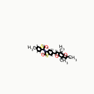 Cc1ccc2c(c1)SC(=O)/C2=C1/C(=O)Sc2cc(-c3cc4c(C)c5oc(C)cc5c(C)c4o3)ccc21